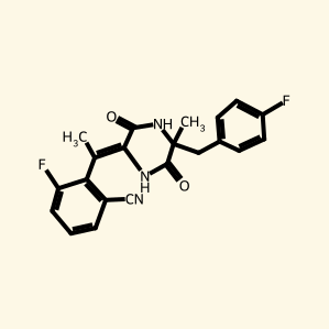 CC(=C1NC(=O)C(C)(Cc2ccc(F)cc2)NC1=O)c1c(F)cccc1C#N